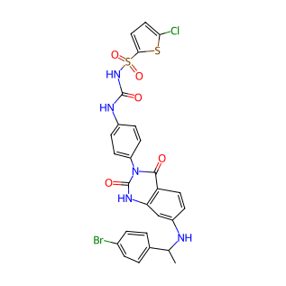 CC(Nc1ccc2c(=O)n(-c3ccc(NC(=O)NS(=O)(=O)c4ccc(Cl)s4)cc3)c(=O)[nH]c2c1)c1ccc(Br)cc1